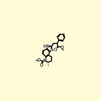 COC(=O)C(Cc1nc2c3c(ccc2[nH]1)N(C(=O)OC)[C@@H](C)CC3)c1ccccc1